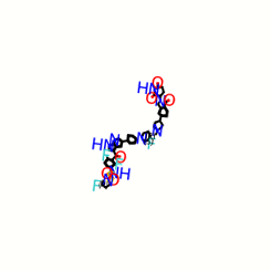 O=C1CCC(N2Cc3cc(C4CCN(C[C@H]5CCN(c6ccc(-c7cnc8[nH]cc(C(=O)c9c(F)ccc(NS(=O)(=O)N%10CC[C@@H](F)C%10)c9F)c8c7)cc6)C[C@H]5F)CC4)ccc3C2=O)C(=O)N1